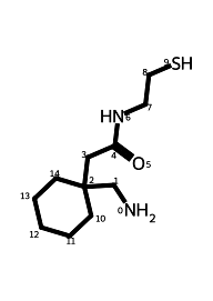 NCC1(CC(=O)NCCS)CCCCC1